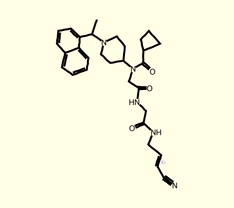 CC(c1cccc2ccccc12)N1CCC(N(CC(=O)NCC(=O)NC/C=C/C#N)C(=O)C2CCC2)CC1